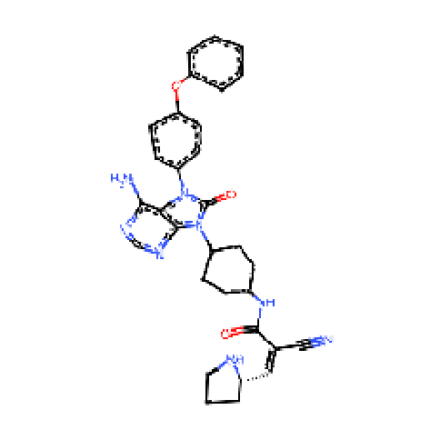 N#C/C(=C/[C@@H]1CCCN1)C(=O)NC1CCC(n2c(=O)n(-c3ccc(Oc4ccccc4)cc3)c3c(N)ncnc32)CC1